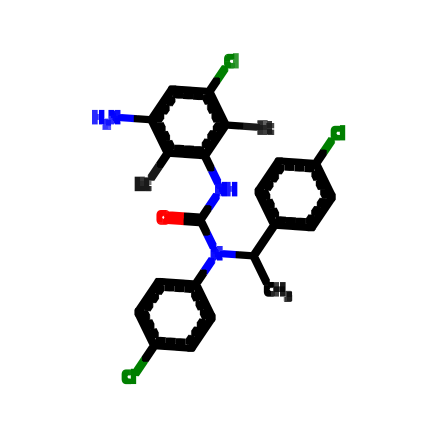 CCc1c(N)cc(Cl)c(CC)c1NC(=O)N(c1ccc(Cl)cc1)C(C)c1ccc(Cl)cc1